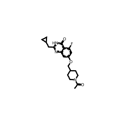 CC(=O)N1CCC(COc2cc(F)c3c(=O)[nH]c(CC4CC4)nc3c2)CC1